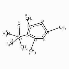 Cc1cc(C)c(S(C)(N)(=O)[SiH3])c(C)c1